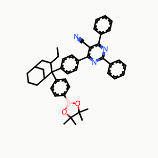 CCC1CC2CCCC(C2)C1(c1ccc(B2OC(C)(C)C(C)(C)O2)cc1)c1ccc(-c2nc(-c3ccccc3)nc(-c3ccccc3)c2C#N)cc1